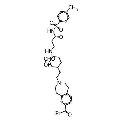 Cc1ccc(S(=O)(=O)NC(=O)CCN[C@H]2CC[C@H](CCN3CCc4ccc(C(=O)C(C)C)cc4CC3)CC2)cc1.O=CO